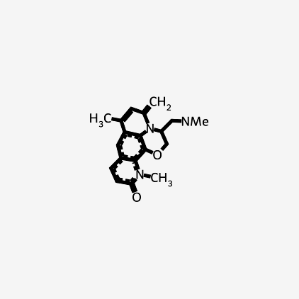 C=C1C=C(C)c2cc3ccc(=O)n(C)c3c3c2N1C(CNC)CO3